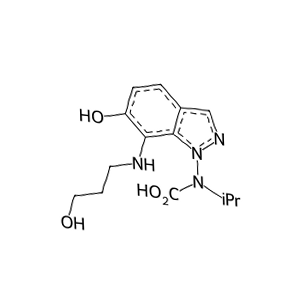 CC(C)N(C(=O)O)n1ncc2ccc(O)c(NCCCO)c21